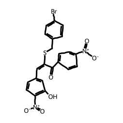 O=C(/C(=C\c1ccc([N+](=O)[O-])c(O)c1)SCc1ccc(Br)cc1)c1ccc([N+](=O)[O-])cc1